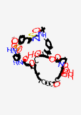 COc1ccc(-c2sc(NC(=O)C(C)(C)C)nc2C)cc1S(=O)(=O)Nc1ccc(NC(=O)CCC[C@@H]2/C=C(\C)C[C@H](C)CCC[C@@H](OC)C[C@@H](C)C(O)(O)C(=O)C(=O)N3CCCC[C@H]3C(=O)O[C@H](/C(C)=C/[C@@H]3CCC[C@H](C)C3)[C@H](C)[C@@H](O)CC2=O)cc1